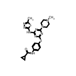 Cc1nnc(Nc2nc(Sc3ccc(NC(=O)C4CC4)cc3)nc(N3CCN(C)CC3)n2)s1